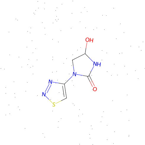 O=C1NC(O)CN1c1csnn1